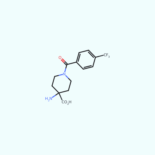 NC1(C(=O)O)CCN(C(=O)c2ccc(C(F)(F)F)cc2)CC1